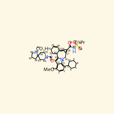 COc1ccc(C2CCCCC2)c2c1cc1n2CC2=C(C(=O)NS(=O)(=O)C(C)C)C2=C2C=CC[C@@H](C(=O)N3CCC4(CCCN4C(=O)O)CC3)C21